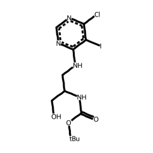 CC(C)(C)OC(=O)NC(CO)CNc1ncnc(Cl)c1I